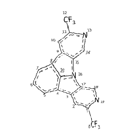 FC(F)(F)c1cc2c3cccc4c5cc(C(F)(F)F)ncc5n(c2cn1)c34